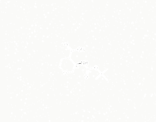 CC(C)(C)OC(=O)N[C@H]1COCCC1C(=O)O